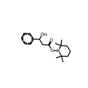 CC1(C)CCCC(C)(C)N1OC(=O)CC(O)c1ccccc1